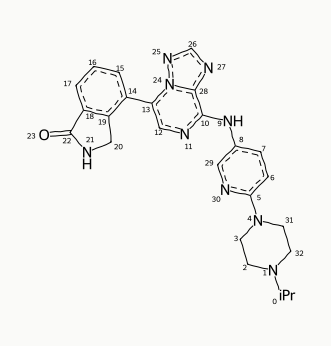 CC(C)N1CCN(c2ccc(Nc3ncc(-c4cccc5c4CNC5=O)n4ncnc34)cn2)CC1